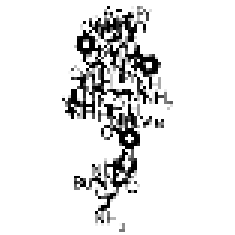 CC[C@H](C)[C@H](NC(C)=O)C(=O)N[C@@H](CCCCN)C(=O)N1CCN(c2ccc(NC)c(C(=O)NCC(=O)N[C@@H](CCCNC(=N)N)C(=O)N[C@@H](Cc3c[nH]cn3)C(=O)N[C@@H](Cc3ccc(O)cc3)C(=O)N[C@@H](CC(C)C)C(=O)N[C@@H](CC(N)=O)C(=O)N[C@@H](Cc3c[nH]c4ccccc34)C(=O)N[C@H](C(C)=O)C(C)C)c2)CC1